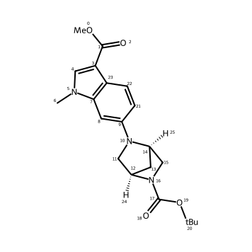 COC(=O)c1cn(C)c2cc(N3C[C@H]4C[C@@H]3CN4C(=O)OC(C)(C)C)ccc12